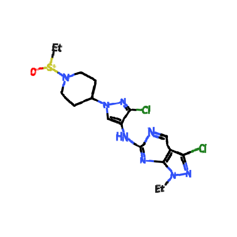 CCn1nc(Cl)c2cnc(Nc3cn(C4CCN([S+]([O-])CC)CC4)nc3Cl)nc21